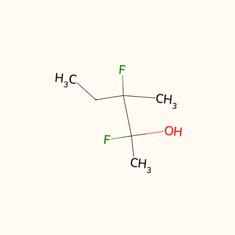 CCC(C)(F)C(C)(O)F